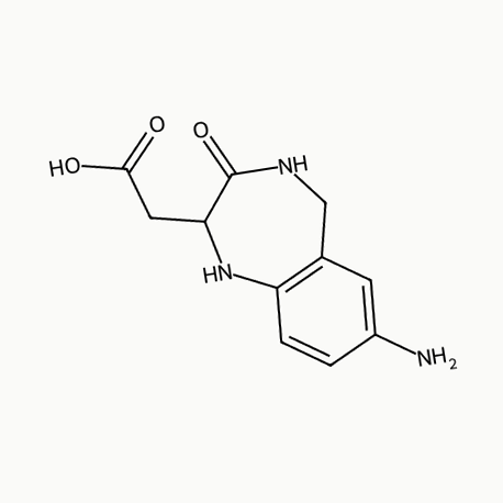 Nc1ccc2c(c1)CNC(=O)C(CC(=O)O)N2